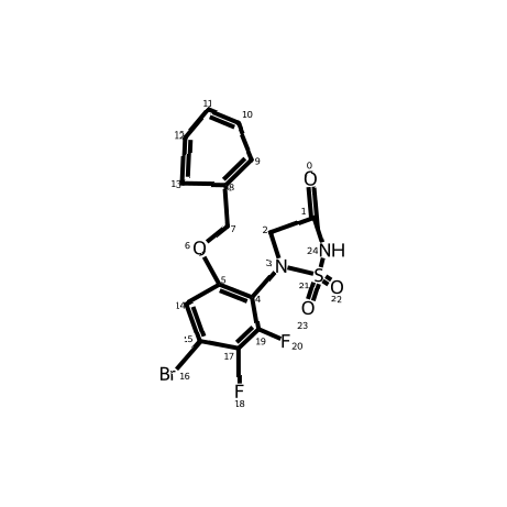 O=C1CN(c2c(OCc3ccccc3)cc(Br)c(F)c2F)S(=O)(=O)N1